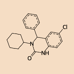 O=C1Nc2ccc(Cl)cc2C(c2ccccc2)N1C1CCCCC1